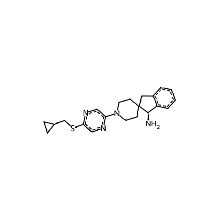 N[C@@H]1c2ccccc2CC12CCN(c1cnc(SCC3CC3)cn1)CC2